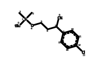 CC(C)(C)[Si](C)(C)OCCC(C#N)c1ccc(Cl)cc1